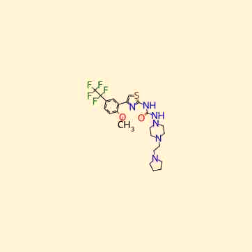 COc1ccc(C(F)(F)C(F)(F)F)cc1-c1csc(NC(=O)NN2CCN(CCN3CCCC3)CC2)n1